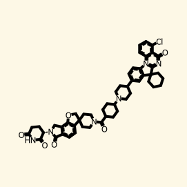 O=C1CC[C@H](N2Cc3c(ccc4c3OCC43CCN(C(=O)C4CCC(N5CCC(c6ccc7c(c6)C6(CCCCC6)c6nc(=O)c8c(Cl)cccc8n6-7)CC5)CC4)CC3)C2=O)C(=O)N1